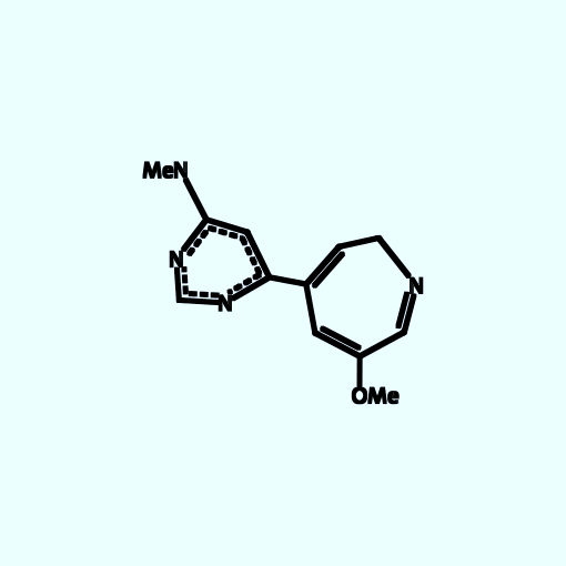 CNc1cc(C2=CCN=CC(OC)=C2)ncn1